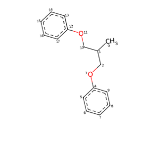 CC(COc1ccccc1)COc1ccccc1